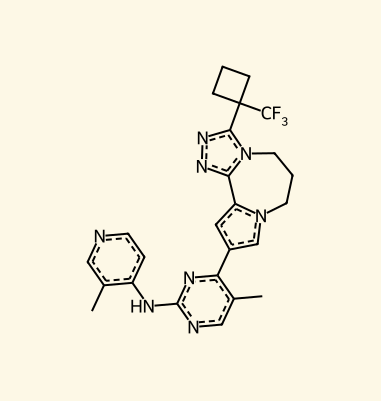 Cc1cnccc1Nc1ncc(C)c(-c2cc3n(c2)CCCn2c-3nnc2C2(C(F)(F)F)CCC2)n1